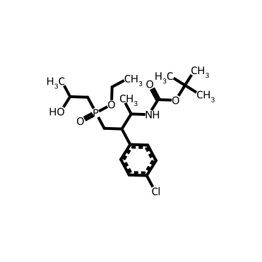 CCOP(=O)(CC(C)O)CC(c1ccc(Cl)cc1)C(C)NC(=O)OC(C)(C)C